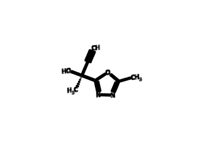 C#C[C@](C)(O)c1nnc(C)o1